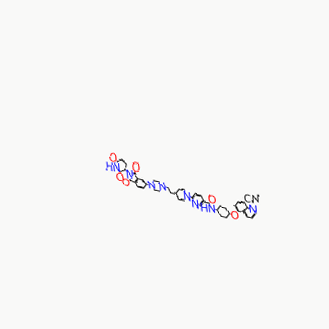 N#Cc1ccc(OC2CCC(NC(=O)c3ccc(N4CCC(CCN5CCN(c6ccc7c(c6)C(=O)N(C6CCC(=O)NC6=O)C7=O)CC5)CC4)nc3)CC2)c2cccnc12